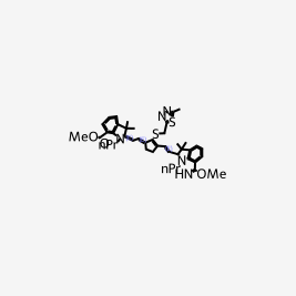 CCCN1/C(=C/C=C2\CCC(/C=C/C3=[N+](CCC)c4c(C(=N)OC)cccc4C3(C)C)=C2SCc2nnc(C)s2)C(C)(C)c2cccc(C(=O)OC)c21